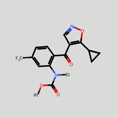 CCN(C(=O)OC(C)C)c1cc(C(F)(F)F)ccc1C(=O)c1cnoc1C1CC1